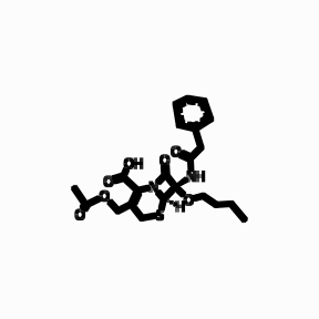 CCCCO[C@@]1(NC(=O)Cc2ccccc2)C(=O)N2C(C(=O)O)=C(COC(C)=O)CS[C@@H]21